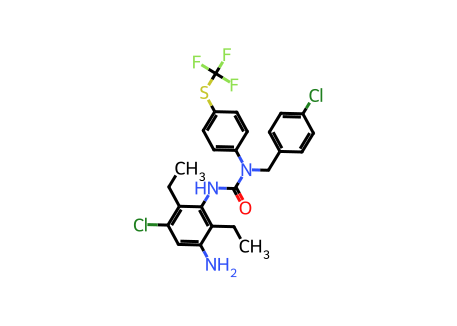 CCc1c(N)cc(Cl)c(CC)c1NC(=O)N(Cc1ccc(Cl)cc1)c1ccc(SC(F)(F)F)cc1